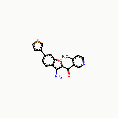 Nc1c(C(=O)c2cnccc2C(F)(F)F)oc2cc(-c3ccsc3)ccc12